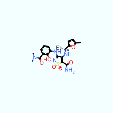 CC[C@@H](NC1=C(C(N)=O)S(=O)(=O)N=C1Nc1cccc(C(=O)N(C)C)c1O)c1ccc(C)o1